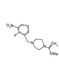 C=C(OC)N1CCN(Cc2cccc([N+](=O)[O-])c2F)CC1